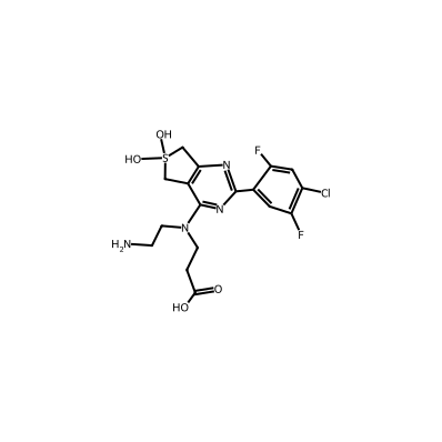 NCCN(CCC(=O)O)c1nc(-c2cc(F)c(Cl)cc2F)nc2c1CS(O)(O)C2